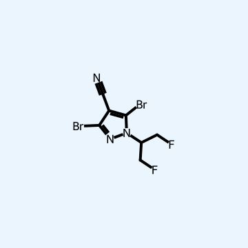 N#Cc1c(Br)nn(C(CF)CF)c1Br